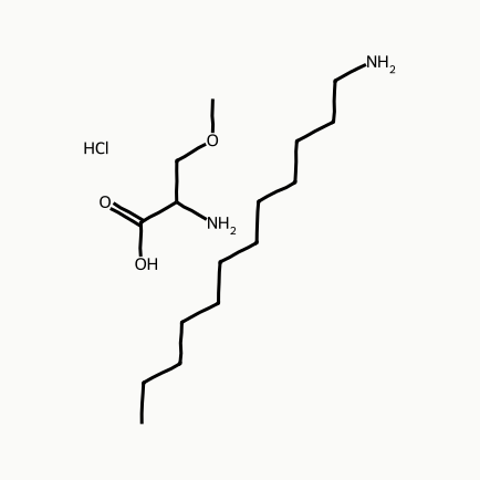 CCCCCCCCCCCCN.COCC(N)C(=O)O.Cl